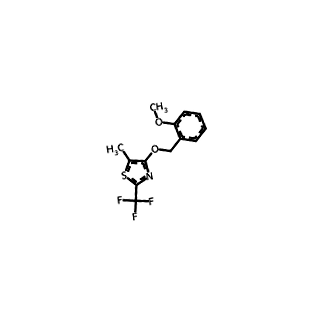 COc1ccccc1COc1nc(C(F)(F)F)sc1C